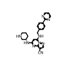 N#Cc1cnn2c(NCc3ccc(-c4ncccn4)cc3)cc(N[C@H]3CCCNC3)nc12